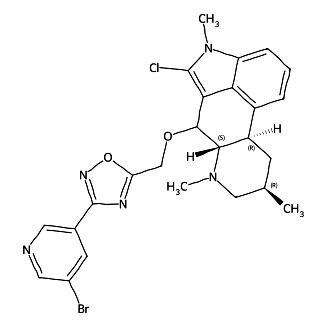 C[C@@H]1C[C@@H]2c3cccc4c3c(c(Cl)n4C)C(OCc3nc(-c4cncc(Br)c4)no3)[C@H]2N(C)C1